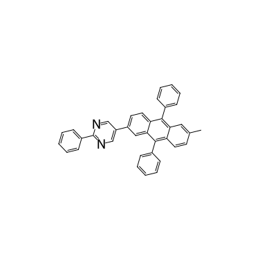 Cc1ccc2c(-c3ccccc3)c3cc(-c4cnc(-c5ccccc5)nc4)ccc3c(-c3ccccc3)c2c1